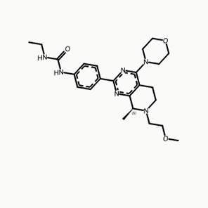 CCNC(=O)Nc1ccc(-c2nc3c(c(N4CCOCC4)n2)CCN(CCOC)[C@H]3C)cc1